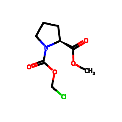 COC(=O)[C@@H]1CCCN1C(=O)OCCl